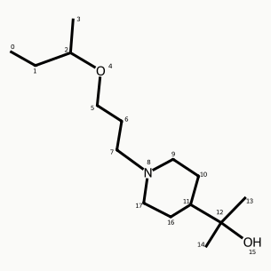 CCC(C)OCCCN1CCC(C(C)(C)O)CC1